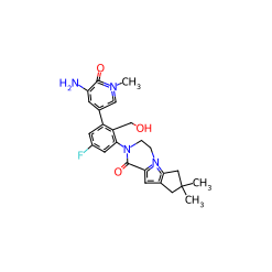 Cn1cc(-c2cc(F)cc(N3CCn4c(cc5c4CC(C)(C)C5)C3=O)c2CO)cc(N)c1=O